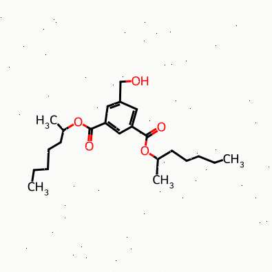 CCCCCC(C)OC(=O)c1cc(CO)cc(C(=O)OC(C)CCCCC)c1